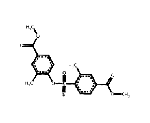 COC(=O)c1ccc(OS(=O)(=S)c2ccc(C(=O)OC)cc2C)c(C)c1